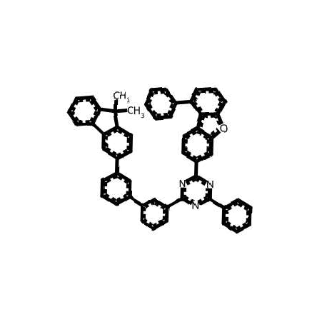 CC1(C)c2ccccc2-c2cc(-c3cccc(-c4cccc(-c5nc(-c6ccccc6)nc(-c6ccc7c(c6)oc6cccc(-c8ccccc8)c67)n5)c4)c3)ccc21